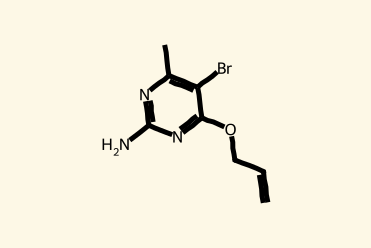 C=CCOc1nc(N)nc(C)c1Br